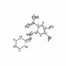 O=C(O)c1cc(F)c(Br)cc1NN=C1CCCCC1